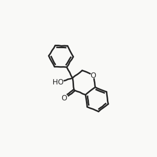 O=C1c2ccccc2OCC1(O)c1ccccc1